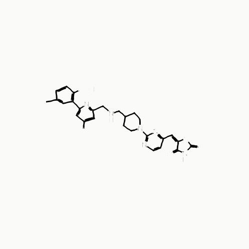 Cc1ccc(C(=O)O)c(-c2cc(F)cc(CNCC3CCN(c4nccc(C=C5SC(=O)NC5=O)n4)CC3)n2)c1